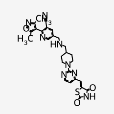 Cc1noc(C)c1-c1ncc(CNCC2CCN(c3nccc(/C=C4\SC(=O)NC4=O)n3)CC2)cc1C#N